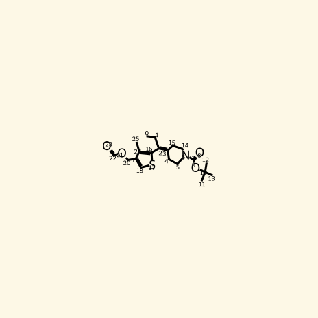 CCC(=C1CCN(C(=O)OC(C)(C)C)CC1)c1scc(COC=O)c1C